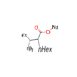 CCCCCCC(C(=O)[O][Nd])C(CC)CCC